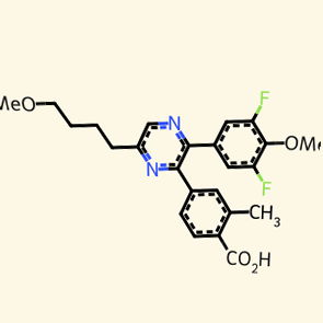 COCCCCc1cnc(-c2cc(F)c(OC)c(F)c2)c(-c2ccc(C(=O)O)c(C)c2)n1